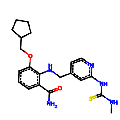 CNC(=S)Nc1cc(CNc2c(OCC3CCCC3)cccc2C(N)=O)ccn1